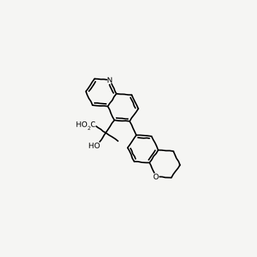 CC(O)(C(=O)O)c1c(-c2ccc3c(c2)CCCO3)ccc2ncccc12